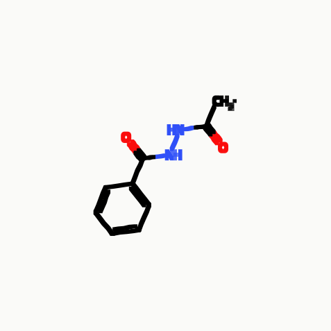 [CH2]C(=O)NNC(=O)c1ccccc1